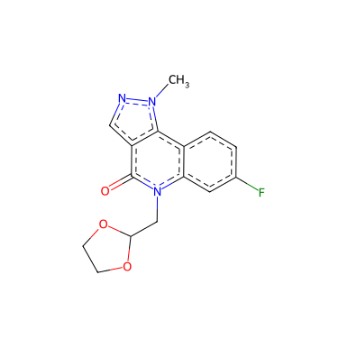 Cn1ncc2c(=O)n(CC3OCCO3)c3cc(F)ccc3c21